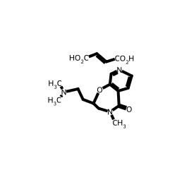 CN(C)CCC1CN(C)C(=O)c2ccncc2O1.O=C(O)/C=C/C(=O)O